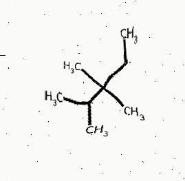 C[CH]C(C)(C)[C](C)C